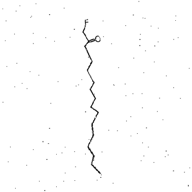 CCCCCCCCCCCCCCC(=O)CF